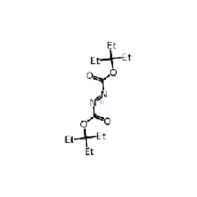 CCC(CC)(CC)OC(=O)/N=N/C(=O)OC(CC)(CC)CC